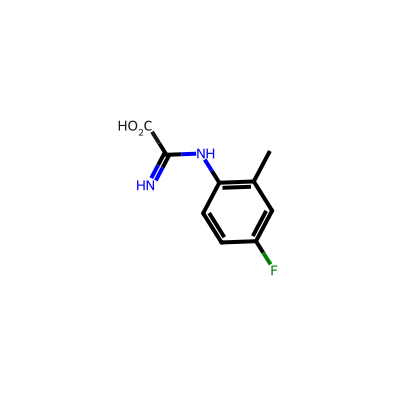 Cc1cc(F)ccc1NC(=N)C(=O)O